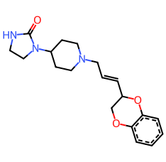 O=C1NCCN1C1CCN(C/C=C/C2COc3ccccc3O2)CC1